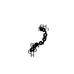 Cn1ncc2cc(CC3CCN(c4ccc(CN5CCC(c6ccc7c(n6)CN(C6CCC(=O)NC6=O)C7=O)CC5)cc4)CC3)ccc21